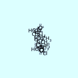 CC(C)[C@@H](NC(=O)C(Cl)(Cl)C1(CO)CC2CCC(C2)C1)C(=O)N1CC[C@](O)(c2ccc(Cl)cc2)C(C)(C)C1